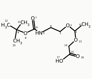 CC(OCCNC(=O)OC(C)(C)C)OCC(=O)O